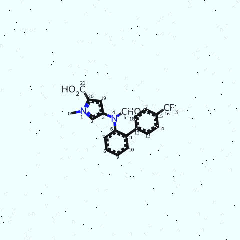 Cn1cc(N(C=O)c2ccccc2-c2ccc(C(F)(F)F)cc2)cc1C(=O)O